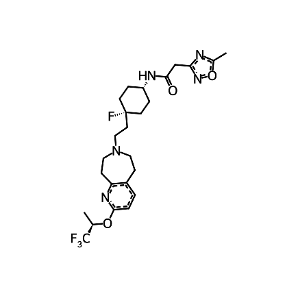 Cc1nc(CC(=O)N[C@H]2CC[C@](F)(CCN3CCc4ccc(O[C@H](C)C(F)(F)F)nc4CC3)CC2)no1